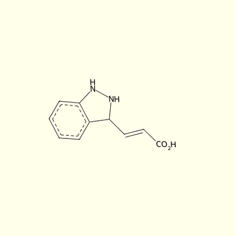 O=C(O)/C=C/C1NNc2ccccc21